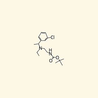 CCN(CCNC(=O)OC(C)(C)C)C(C)c1cccc(Cl)c1